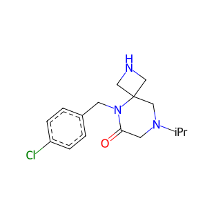 CC(C)N1CC(=O)N(Cc2ccc(Cl)cc2)C2(CNC2)C1